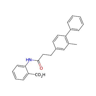 Cc1cc(CCC(=O)Nc2ccccc2C(=O)O)ccc1-c1ccccc1